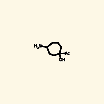 CC(=O)C1(O)CCCC(N)CC1